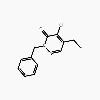 [CH2]Cc1cnn(Cc2ccccc2)c(=O)c1Cl